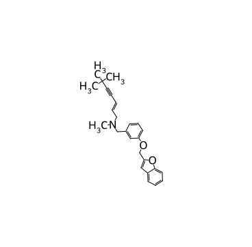 CN(CC=CC#CC(C)(C)C)Cc1cccc(OCc2cc3ccccc3o2)c1